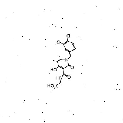 CC1CN(Cc2ccc(Cl)c(Cl)c2)C(=O)C(C(=O)NCC(=O)O)=C1O